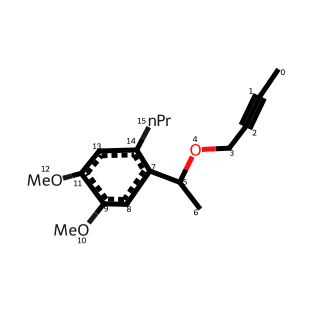 CC#CCOC(C)c1cc(OC)c(OC)cc1CCC